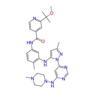 COC(C)(C)c1cc(C(=O)Nc2ccc(C)c(Nc3cc(C)nn3-c3cc(NN4CCN(C)CC4)ncn3)c2)ccn1